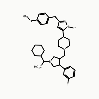 CCn1nc(Cc2ccc(OC(C)(C)C)cc2)cc1C1CCN(CC2CN(C(C(=O)O)C3CCCCC3)CC2c2cccc(F)c2)CC1